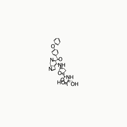 C[C@@H](O)[C@@H](CO)NC(=O)[C@@H]1CC[C@@H](NC2=C3C=CN=C3CN=C2C(=O)c2ccc(Oc3ccccc3)cc2)CO1